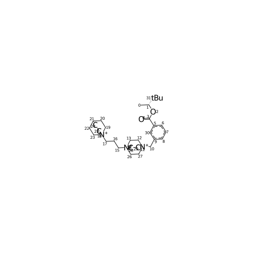 C[C@@H](OC(=O)c1cccc(C[N+]23CC[N+](CCC[N+]45CCC(CC4)CC5)(CC2)CC3)c1)C(C)(C)C